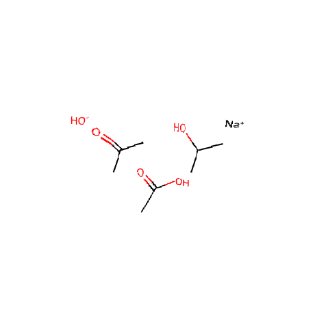 CC(=O)O.CC(C)=O.CC(C)O.[Na+].[OH-]